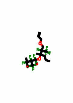 C=CCOCC(F)(C(F)(F)F)C(C)(CCC)OC(F)(F)C(F)(C(C)(C)F)C(F)(F)F